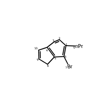 CCCc1ccc2c(c1Br)CC=C2